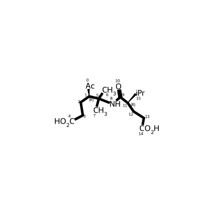 CC(=O)[C@H](CCC(=O)O)C(C)(C)NC(=O)[C@H](CCC(=O)O)C(C)C